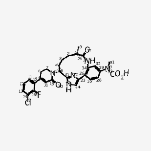 C[C@@H]1CCC[C@H](N2CCC(c3cccc(Cl)c3F)=CC2=O)c2nc(c[nH]2)-c2ccc(N(C)C(=O)O)cc2NC1=O